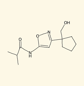 CC(C)C(=O)Nc1cc(C2(CO)CCCC2)no1